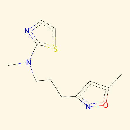 Cc1cc(CCCN(C)c2nccs2)no1